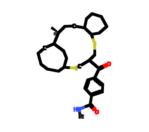 CCNC(=O)c1ccc(C(=O)C2CSC3CCCCCC(CC3)[C@H](C)CCC3CCCCCC3SC2)cc1